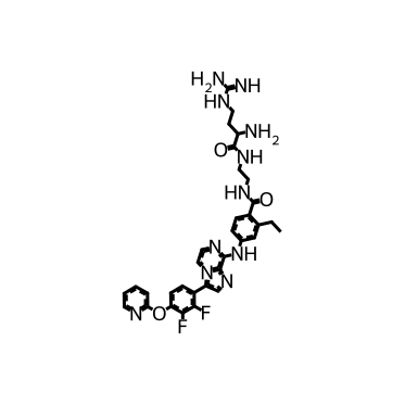 CCc1cc(Nc2nccn3c(-c4ccc(Oc5ccccn5)c(F)c4F)cnc23)ccc1C(=O)NCCNC(=O)C(N)CCNC(=N)N